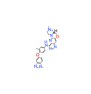 Cc1cc(Nc2ncnc3cc4c(nc23)N2CCN(C)C[C@@H]2CO4)ccc1Oc1ccc2c(c1)ncn2C